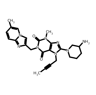 CC#CCn1c(N2CCCC(N)C2)nc2c1c(=O)n(Cc1cn3cc(C)ccc3n1)c(=O)n2C